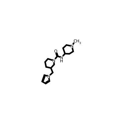 CN1CCC(NC(=O)N2CCCC(Cn3cccc3)C2)CC1